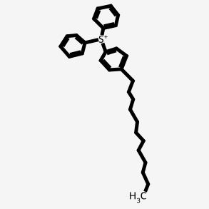 CCCCCCCCCCCCc1ccc([S+](c2ccccc2)c2ccccc2)cc1